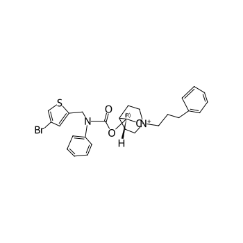 O=C(O[C@H]1C[N+]2(CCCc3ccccc3)CCC1CC2)N(Cc1cc(Br)cs1)c1ccccc1